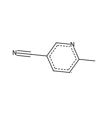 Cc1[c]cc(C#N)cn1